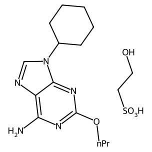 CCCOc1nc(N)c2ncn(C3CCCCC3)c2n1.O=S(=O)(O)CCO